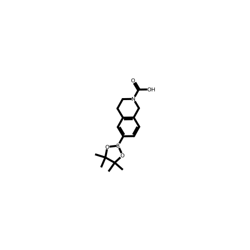 CC1(C)OB(c2ccc3c(c2)CCN(C(=O)O)C3)OC1(C)C